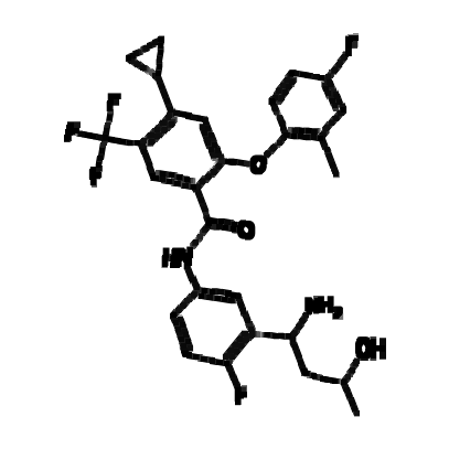 Cc1cc(F)ccc1Oc1cc(C2CC2)c(C(F)(F)F)cc1C(=O)Nc1ccc(F)c(C(N)CC(C)O)c1